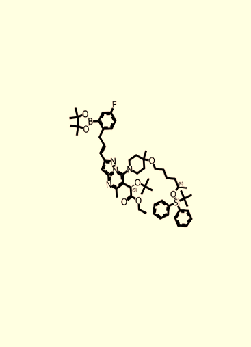 CCOC(=O)[C@@H](OC(C)(C)C)c1c(C)nc2cc(C=CCc3ccc(F)cc3B3OC(C)(C)C(C)(C)O3)nn2c1N1CCC(C)(OCCCC[C@@H](C)O[Si](c2ccccc2)(c2ccccc2)C(C)(C)C)CC1